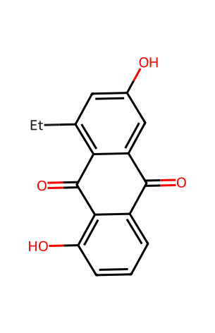 CCc1cc(O)cc2c1C(=O)c1c(O)cccc1C2=O